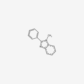 Cn1c(C2=CC=C=C=C2)nc2ccccc21